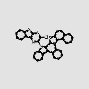 Clc1nc2sc3ccccc3c2nc1-n1c2ccccc2c2c3ccccc3c3c(sc4ccc5ccccc5c43)c21